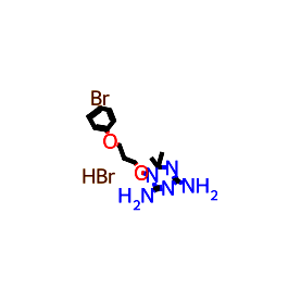 Br.CC1(C)N=C(N)N=C(N)N1OCCCOc1ccc(Br)cc1